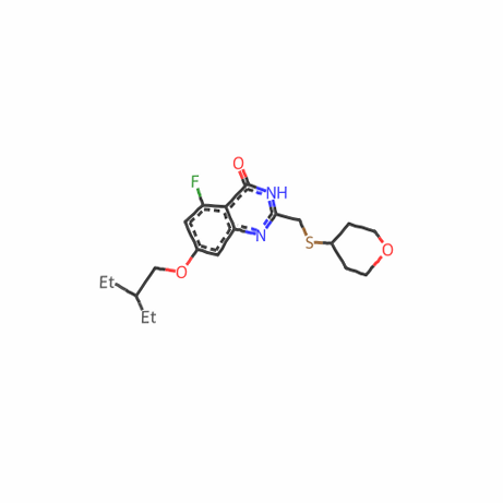 CCC(CC)COc1cc(F)c2c(=O)[nH]c(CSC3CCOCC3)nc2c1